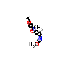 COC1CCN(Cc2ccc3c(c2)CC[C@H](N(C)C(=O)c2ccc(OCC4CC4)cc2)C3)CC1